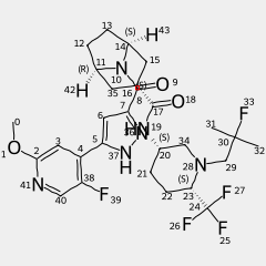 COc1cc(-c2cc(C(=O)N3[C@@H]4CC[C@H]3C[C@H](C(=O)N[C@H]3CC[C@@H](C(F)(F)F)N(CC(C)(C)F)C3)C4)n[nH]2)c(F)cn1